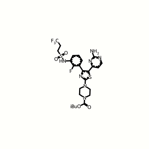 CC(C)COC(=O)N1CCN(c2nc(-c3cccc(NS(=O)(=O)CCC(F)(F)F)c3F)c(-c3ccnc(N)n3)s2)CC1